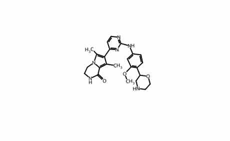 COc1cc(Nc2nccc(-c3c(C)c4n(c3C)CCNC4=O)n2)ccc1C1CNCCO1